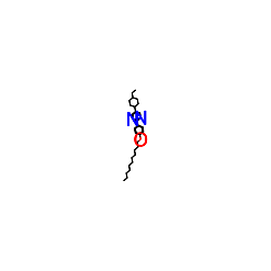 CCCCCCCCCCCOc1ccc(-c2ncc(C3CCC(CC)CC3)cn2)cc1